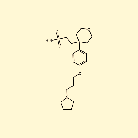 NS(=O)(=O)CCC1(c2ccc(OCCCN3CCCC3)cc2)CCOCC1